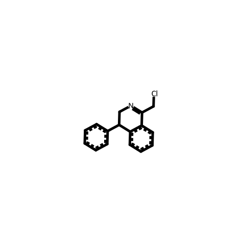 ClCC1=NCC(c2ccccc2)c2ccccc21